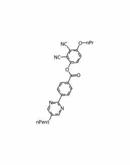 CCCCCc1cnc(-c2ccc(C(=O)Oc3ccc(OCCC)c(C#N)c3C#N)cc2)nc1